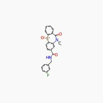 CCN1C(=O)c2ccccc2[S+]([O-])c2ccc(C(=O)NCc3cccc(F)c3)cc21